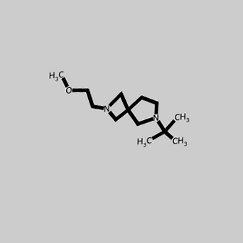 COCCN1CC2(CCN(C(C)(C)C)C2)C1